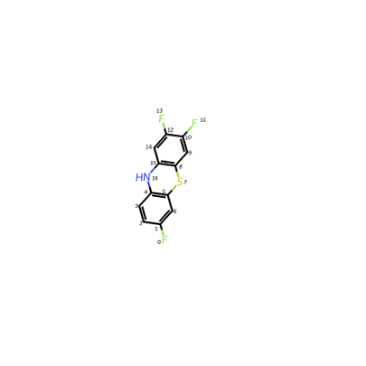 Fc1ccc2c(c1)Sc1cc(F)c(F)cc1N2